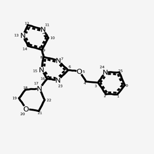 c1ccc(COc2nc(-c3cncnc3)nc(N3CCOCC3)n2)nc1